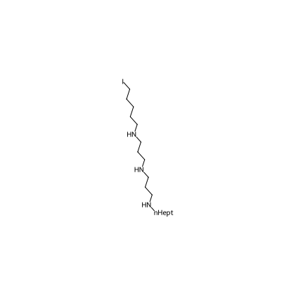 CCCCCCCNCCCNCCCNCCCCCI